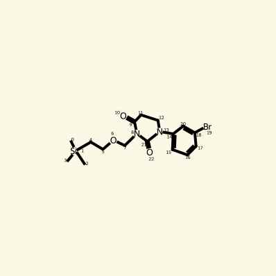 C[Si](C)(C)CCOCN1C(=O)CCN(c2cccc(Br)c2)C1=O